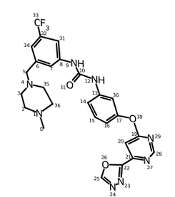 CN1CCN(Cc2cc(NC(=O)Nc3cccc(Oc4cc(-c5nnco5)ncn4)c3)cc(C(F)(F)F)c2)CC1